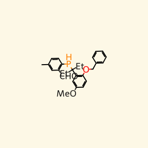 CCC(CC)(Pc1ccc(C)cc1C=O)c1cc(OC)ccc1OCc1ccccc1